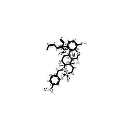 C=C/C(=C\C=C/C)S(=O)(=O)[C@@]12CC[C@@H]3[C@@H](CCS(=O)(=O)N3Cc3ccc(OC)cc3)[C@@H]1COc1c(F)ccc(F)c12